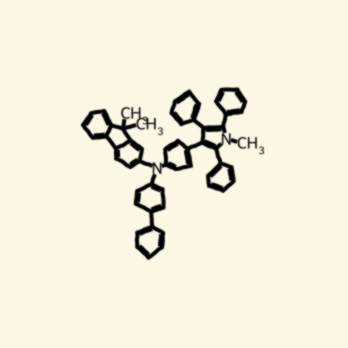 Cn1c(-c2ccccc2)c(-c2ccccc2)c(-c2ccc(N(c3ccc(-c4ccccc4)cc3)c3ccc4c(c3)C(C)(C)c3ccccc3-4)cc2)c1-c1ccccc1